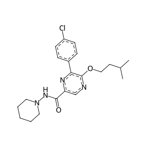 CC(C)CCOc1ncc(C(=O)NN2CCCCC2)nc1-c1ccc(Cl)cc1